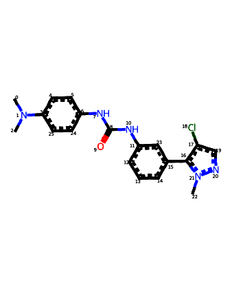 CN(C)c1ccc(NC(=O)Nc2cccc(-c3c(Cl)cnn3C)c2)cc1